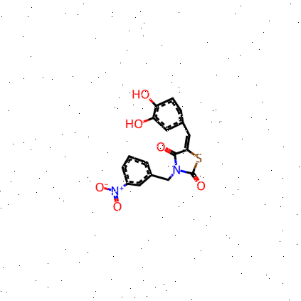 O=C1SC(=Cc2ccc(O)c(O)c2)C(=O)N1Cc1cccc([N+](=O)[O-])c1